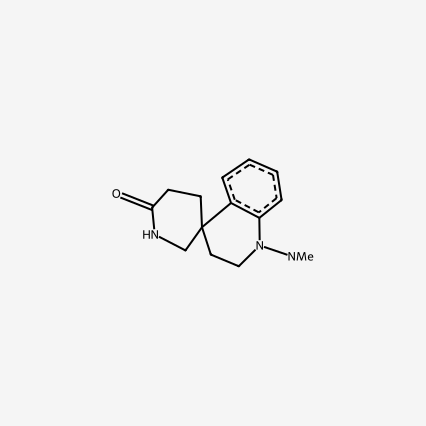 CNN1CCC2(CCC(=O)NC2)c2ccccc21